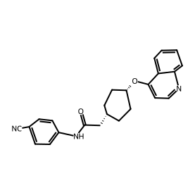 N#Cc1ccc(NC(=O)C[C@H]2CC[C@@H](Oc3ccnc4ccccc34)CC2)cc1